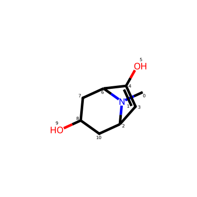 CN1C2C=C(O)C1CC(O)C2